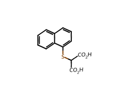 O=C(O)C(Sc1cccc2ccccc12)C(=O)O